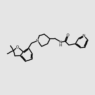 CC1(C)Cc2cccc(CN3CCC(CNC(=O)Cc4cccnc4)CC3)c2O1